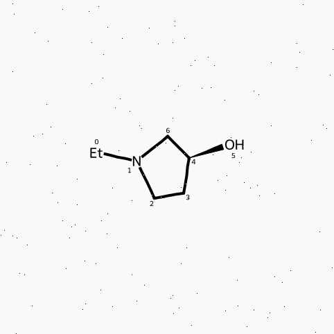 CCN1CC[C@H](O)C1